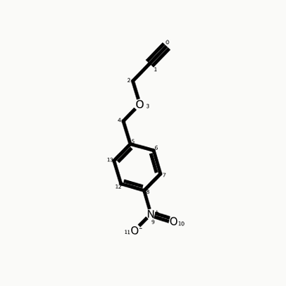 C#CCOCc1ccc([N+](=O)[O-])cc1